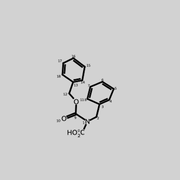 O=C(O)N(Cc1ccccc1)C(=O)OCc1ccccc1